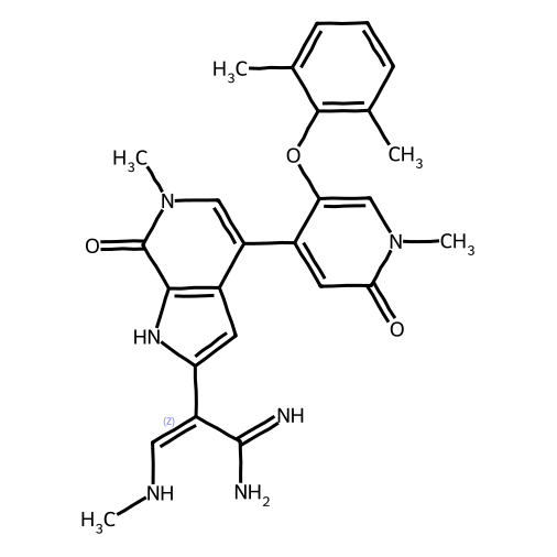 CN/C=C(\C(=N)N)c1cc2c(-c3cc(=O)n(C)cc3Oc3c(C)cccc3C)cn(C)c(=O)c2[nH]1